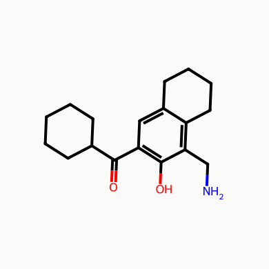 NCc1c(O)c(C(=O)C2CCCCC2)cc2c1CCCC2